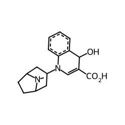 CN1C2CCC1CC(N1C=C(C(=O)O)C(O)c3ccccc31)C2